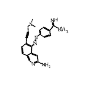 CN(C)CC#Cc1ccc2cnc(N)cc2c1/N=N/c1ccc(C(=N)N)cc1